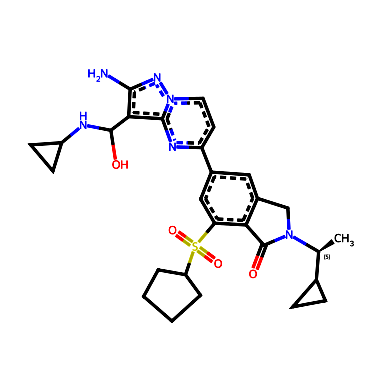 C[C@@H](C1CC1)N1Cc2cc(-c3ccn4nc(N)c(C(O)NC5CC5)c4n3)cc(S(=O)(=O)C3CCCC3)c2C1=O